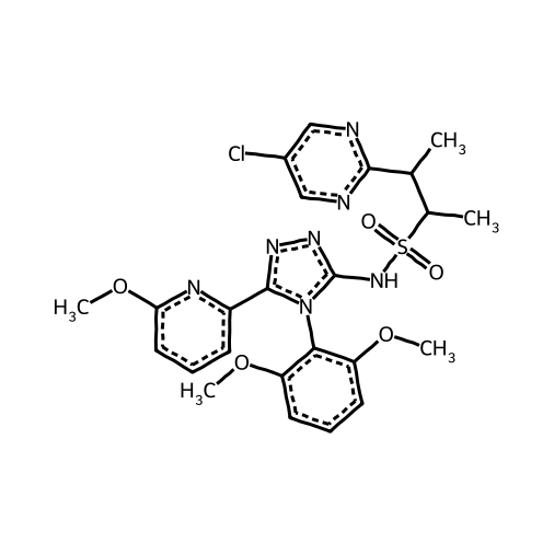 COc1cccc(-c2nnc(NS(=O)(=O)C(C)C(C)c3ncc(Cl)cn3)n2-c2c(OC)cccc2OC)n1